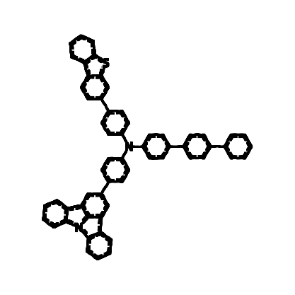 c1ccc(-c2ccc(-c3ccc(N(c4ccc(-c5ccc6c(c5)sc5ccccc56)cc4)c4ccc(-c5cc6c7ccccc7n7c8ccccc8c(c5)c67)cc4)cc3)cc2)cc1